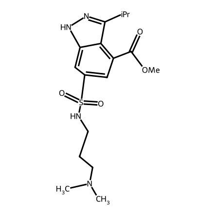 COC(=O)c1cc(S(=O)(=O)NCCCN(C)C)cc2[nH]nc(C(C)C)c12